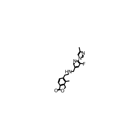 Cc1cn(-c2ncc(CNCCc3ccc4c(c3C)COC4=O)cc2F)cn1